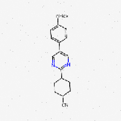 CCCCCCc1ccc(-c2cnc(C3CCC(C#N)CC3)nc2)cc1